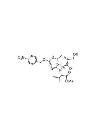 C=C(C)C(C(=O)OC)N1C(=O)[C@H](C(C)OC(=O)OCc2ccc([N+](=O)[O-])cc2)[C@H]1[S+]([O-])C(=C)CO